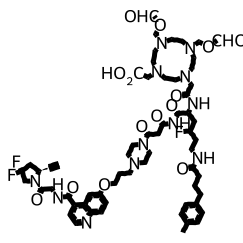 C#C[C@H]1CC(F)(F)CN1C(=O)CNC(=O)c1ccnc2ccc(OCCCN3CCN(C(=O)CC(=O)NC(=O)C(CC(F)CCNC(=O)CCCc4ccc(C)cc4)NC(=O)CN4CCN(COC=O)CCN(COC=O)CCN(CC(=O)O)CC4)CC3)cc12